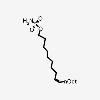 CCCCCCCC/C=C\CCCCCCCCOS(N)(=O)=O